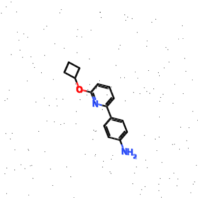 Nc1ccc(-c2cccc(OC3CCC3)n2)cc1